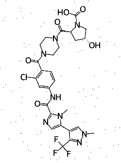 Cn1cc(-c2cnc(C(=O)Nc3ccc(C(=O)N4CCN(C(=O)[C@@H]5C[C@@H](O)CN5C(=O)O)CC4)c(Cl)c3)n2C)c(C(F)(F)F)n1